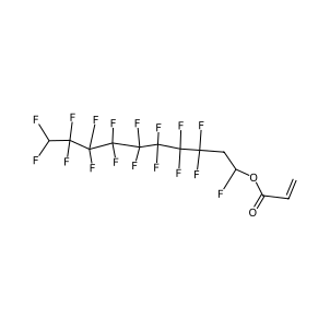 C=CC(=O)OC(F)CC(F)(F)C(F)(F)C(F)(F)C(F)(F)C(F)(F)C(F)(F)C(F)(F)C(F)F